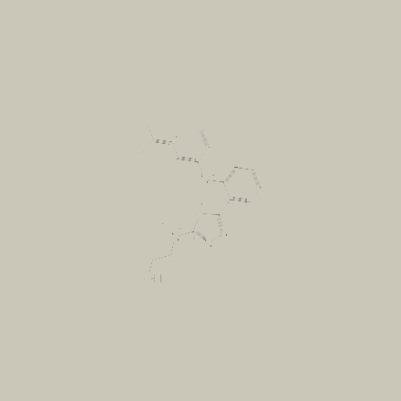 C=C/C(=C\C=C(/C)C(F)(F)F)Nc1ccccc1-c1nnc(N(C)CCO)o1